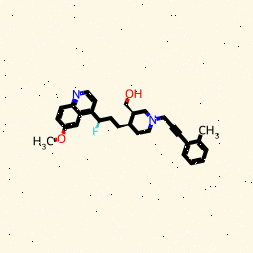 COc1ccc2nccc([C@H](F)CC[C@@H]3CCN(CC#Cc4ccccc4C)C[C@@H]3CO)c2c1